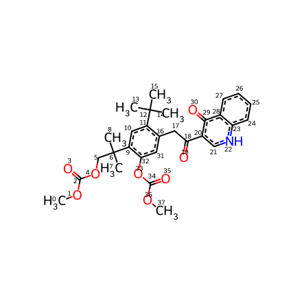 COC(=O)OCC(C)(C)c1cc(C(C)(C)C)c(CC(=O)c2c[nH]c3ccccc3c2=O)cc1OC(=O)OC